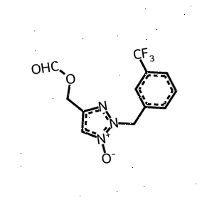 O=COCc1c[n+]([O-])n(Cc2cccc(C(F)(F)F)c2)n1